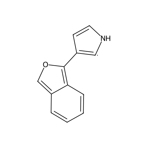 [c]1[nH]ccc1-c1occ2ccccc12